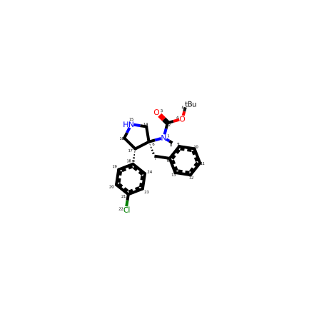 CN(C(=O)OC(C)(C)C)[C@]1(Cc2ccccc2)CNC[C@H]1c1ccc(Cl)cc1